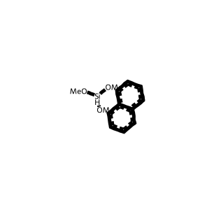 CO[SiH](OC)OC.c1ccc2ccccc2c1